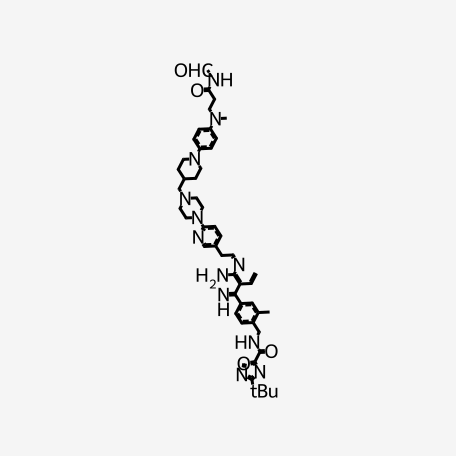 C=C/C(C(=N)c1ccc(CNC(=O)c2nc(C(C)(C)C)no2)c(C)c1)=C(N)\N=C/Cc1ccc(N2CCN(CC3CCN(c4ccc(N(C)CCC(=O)NC=O)cc4)CC3)CC2)nc1